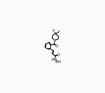 O=C(/C=C/c1ccccc1C(=O)N1CCC(F)(F)CC1)NO